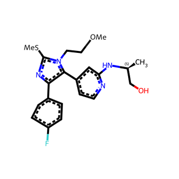 COCCn1c(SC)nc(-c2ccc(F)cc2)c1-c1ccnc(N[C@@H](C)CO)c1